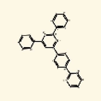 c1ccc(-c2cc(-c3ccc(-c4ncccn4)cc3)nc(-c3ccccc3)n2)cc1